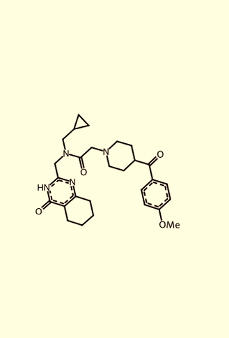 COc1ccc(C(=O)C2CCN(CC(=O)N(Cc3nc4c(c(=O)[nH]3)CCCC4)CC3CC3)CC2)cc1